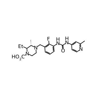 CCC1[C@H](C)N(Cc2cccc(NC(=O)Nc3ccnc(C)c3)c2F)CCN1C(=O)O